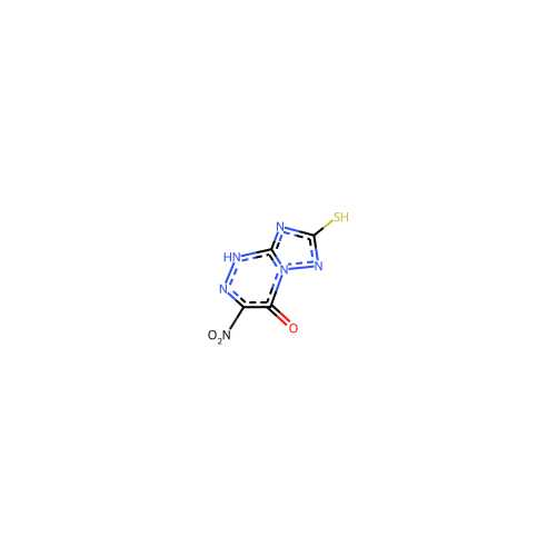 O=c1c([N+](=O)[O-])n[nH]c2nc(S)nn12